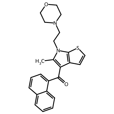 Cc1c(C(=O)c2cccc3ccccc23)c2ccsc2n1CCN1CCOCC1